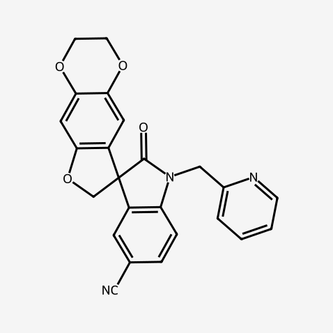 N#Cc1ccc2c(c1)C1(COc3cc4c(cc31)OCCO4)C(=O)N2Cc1ccccn1